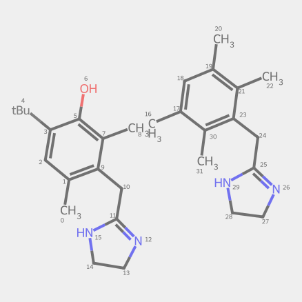 Cc1cc(C(C)(C)C)c(O)c(C)c1CC1=NCCN1.Cc1cc(C)c(C)c(CC2=NCCN2)c1C